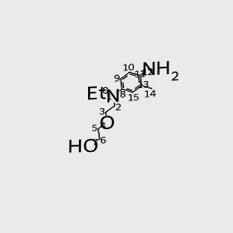 CCN(CCOCCO)c1ccc(N)c(C)c1